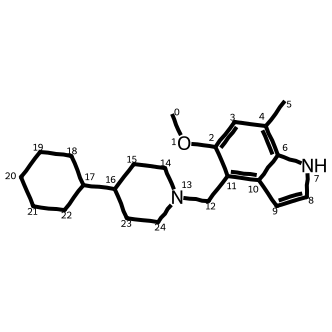 COc1cc(C)c2[nH]ccc2c1CN1CCC(C2CCCCC2)CC1